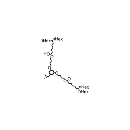 CCCCCCC(CCCCCC)CCCCCC(=O)OCCCCOc1cc(CN(C)C)cc(OCCCCOC(O)CCCCCC(CCCCCC)CCCCCC)c1